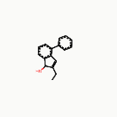 CCC1=Cc2c(-c3ccccc3)cccc2C1O